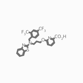 O=C(O)c1cccc(OCCCN(Cc2ccc(C(F)(F)F)cc2C(F)(F)F)c2nc3ccccc3s2)n1